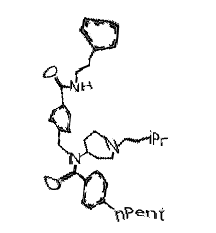 CCCCCc1ccc(C(=O)N(Cc2ccc(C(=O)NCCc3ccccc3)cc2)C2CCN(CCC(C)C)CC2)cc1